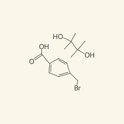 CC(C)(O)C(C)(C)O.O=C(O)c1ccc(CBr)cc1